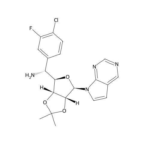 CC1(C)O[C@H]2[C@@H](O1)[C@H](n1ccc3cncnc31)O[C@@H]2[C@H](N)c1ccc(Cl)c(F)c1